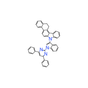 c1ccc(-c2cc(-c3ccccc3)nc(-n3cc(-n4c5ccccc5c5c6c(ccc54)-c4ccccc4CC6)c4ccccc43)n2)cc1